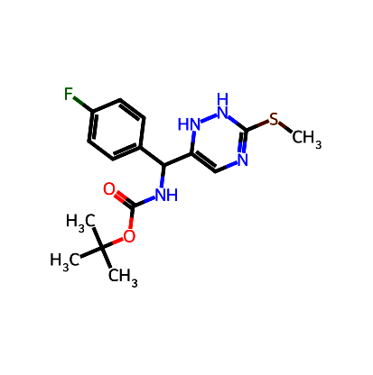 CSC1=NC=C(C(NC(=O)OC(C)(C)C)c2ccc(F)cc2)NN1